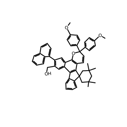 COc1ccc(C2(c3ccc(OC)cc3)C=Cc3c4c(c5cc(CO)c(-c6cccc7ccccc67)cc5c3O2)-c2ccccc2C42CC(C)(C)CC(C)(C)C2)cc1